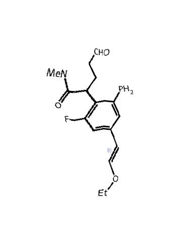 CCO/C=C/c1cc(F)c(C(CCC=O)C(=O)NC)c(P)c1